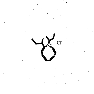 CCC(C)c1ccccccc[s+]1C(C)CC.[Cl-]